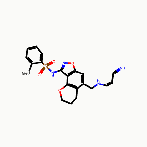 COc1ccccc1S(=O)(=O)Nc1noc2cc(CN/C=C\C=N)c3c(c12)OCCC3